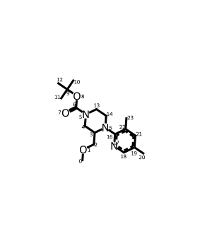 COCC1CN(C(=O)OC(C)(C)C)CCN1c1ncc(C)cc1C